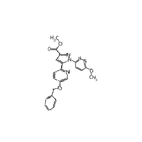 COC(=O)c1cc(-c2ccc(OCc3ccccc3)cn2)n(-c2ccc(OC)nn2)n1